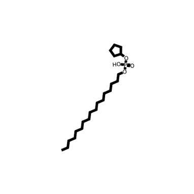 CCCCCCCCCCCCCCCCCOP(=O)(O)OC1CCCC1